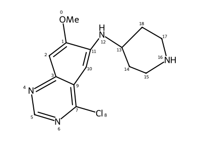 COc1cc2ncnc(Cl)c2cc1NC1CCNCC1